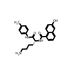 Cc1ccc(NC(=O)[C@@H](CCCCN)NC(=O)c2cccc3cc(O)ccc23)cc1